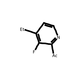 CCc1ccnc(C(C)=O)c1F